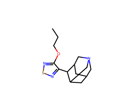 CCCOc1nsnc1C1C2CC3CC1CN(C3)C2